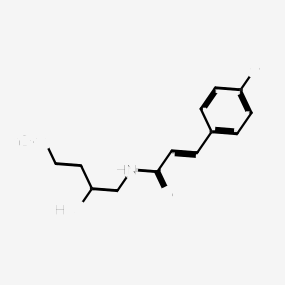 CCCCCCCCCCCCC(C)CNC(=O)C=Cc1ccc(O)cc1